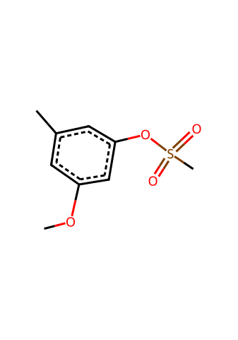 COc1cc(C)cc(OS(C)(=O)=O)c1